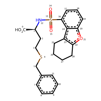 O=C(O)[C@H](CCSCc1ccccc1)NS(=O)(=O)c1cccc2oc3c(c12)CCCC3